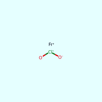 [Fr+].[O-][Cl+][O-]